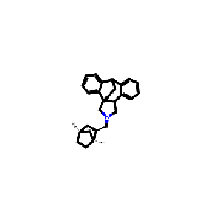 c1ccc2c(c1)C1CC3(CN(C[C@@H]4C[C@@H]5CC[C@H]4C5)CC23)c2ccccc21